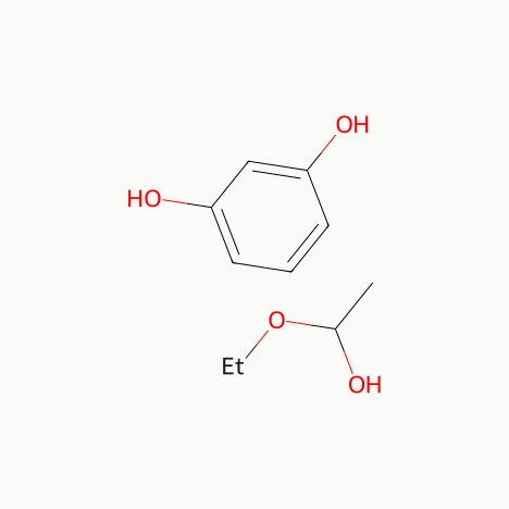 CCOC(C)O.Oc1cccc(O)c1